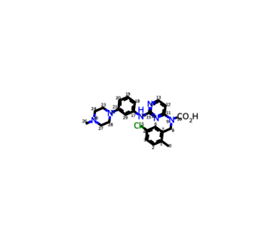 Cc1ccc(Cl)cc1CN(C(=O)O)c1ccnc(Nc2cccc(N3CCN(C)CC3)c2)n1